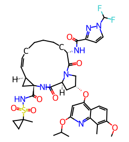 COc1ccc2c(O[C@@H]3C[C@H]4C(=O)N[C@]5(C(=O)NS(=O)(=O)C6(C)CC6)C[C@H]5/C=C\CCCCC[C@H](NC(=O)c5ccn(C(F)F)n5)C(=O)N4C3)cc(OC(C)C)nc2c1C